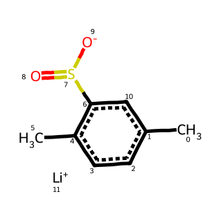 Cc1ccc(C)c(S(=O)[O-])c1.[Li+]